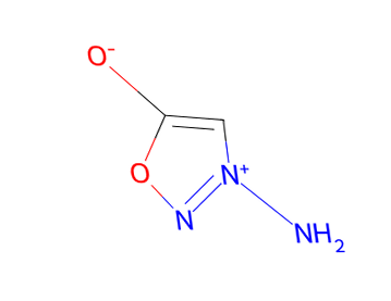 N[n+]1cc([O-])on1